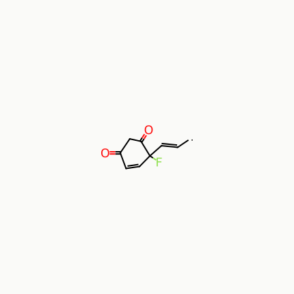 [CH2]C=CC1(F)C=CC(=O)CC1=O